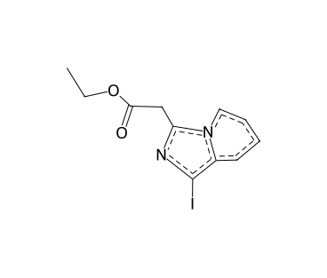 CCOC(=O)Cc1nc(I)c2ccccn12